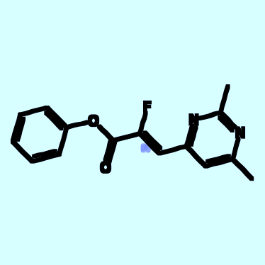 Cc1cc(/C=C(\F)C(=O)Oc2ccccc2)nc(C)n1